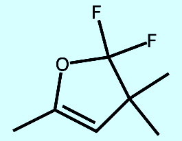 CC1=CC(C)(C)C(F)(F)O1